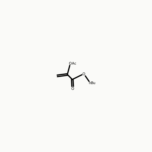 C=C(OC(C)=O)C(=O)OCCCC